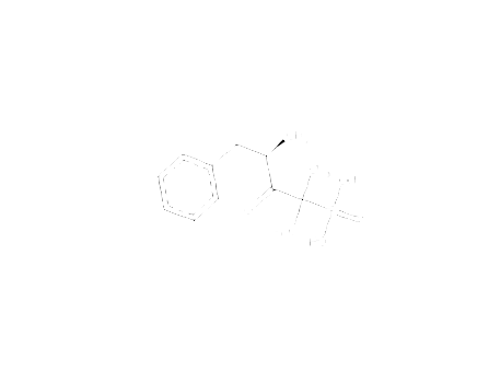 C[C@H](Cc1ccccc1)C(=O)C(C)(C)P(=O)(O)O